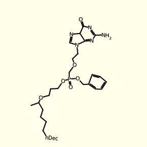 CCCCCCCCCCCCCCC(C)OCCCOP(=O)(COCCN1C=NC2C(=O)N=C(N)N=C21)OCc1ccccc1